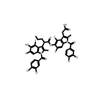 CCCC(C(=O)Oc1c(F)cc2c(c1F)c(CC(=O)O)c(C)n2C(=O)c1ccc(Cl)c(Cl)c1)c1c(C)n(C(=O)c2ccc(Cl)c(Cl)c2)c2cc(F)c(O)c(F)c12